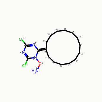 NON1C(Cl)=NC(Cl)=NC1=C1CCCCCCCCCCCCC1